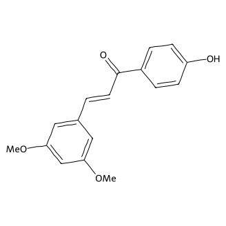 COc1cc(/C=C/C(=O)c2ccc(O)cc2)cc(OC)c1